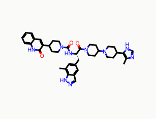 Cc1nc[nH]c1C1CCN(C2CCN(C(=O)[C@H](Cc3cc(C)c4[nH]ncc4c3)NC(=O)N3CCC(c4cc5ccccc5[nH]c4=O)CC3)CC2)CC1